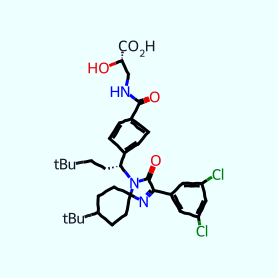 CC(C)(C)CC[C@H](c1ccc(C(=O)NC[C@H](O)C(=O)O)cc1)N1C(=O)C(c2cc(Cl)cc(Cl)c2)=NC12CCC(C(C)(C)C)CC2